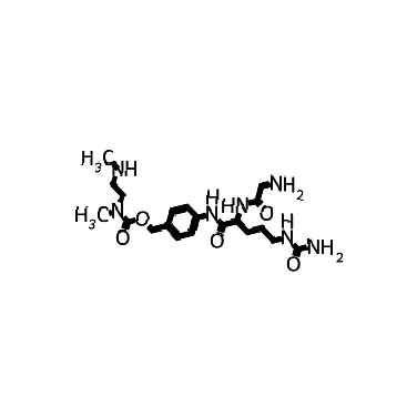 CNCCN(C)C(=O)OCc1ccc(NC(=O)C(CCCNC(N)=O)NC(=O)CN)cc1